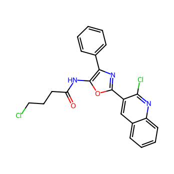 O=C(CCCCl)Nc1oc(-c2cc3ccccc3nc2Cl)nc1-c1ccccc1